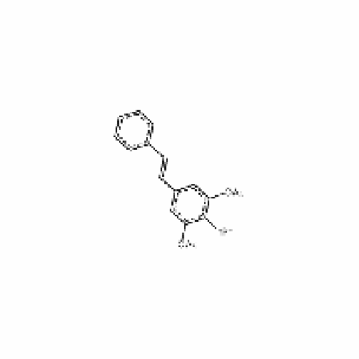 CCCc1c(OC(C)=O)cc(C=Cc2ccccc2)cc1OC(C)=O